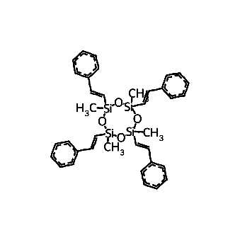 C[Si]1(C=Cc2ccccc2)O[Si](C)(C=Cc2ccccc2)O[Si](C)(C=Cc2ccccc2)O[Si](C)(C=Cc2ccccc2)O1